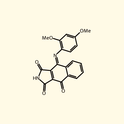 COc1ccc(N=c2c3c(=O)[nH]c(=O)c=3c(=O)c3ccccc23)c(OC)c1